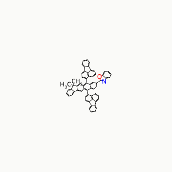 CC1(C)c2ccccc2-c2cc3c(-c4ccc5c6c(cccc46)-c4ccccc4-5)c4ccc(-c5nc6ccccc6o5)cc4c(-c4ccc5c6c(cccc46)-c4ccccc4-5)c3cc21